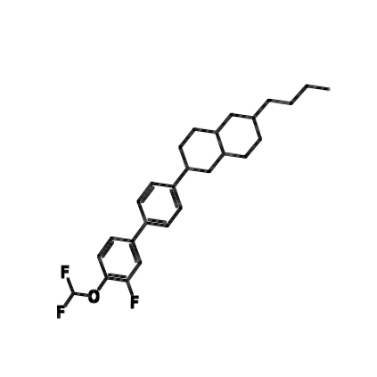 CCCCC1CCC2CC(c3ccc(-c4ccc(OC(F)F)c(F)c4)cc3)CCC2C1